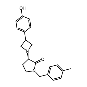 Cc1ccc(CN2CC[C@@H](N3CC(c4ccc(O)cc4)C3)C2=O)cc1